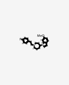 COc1ccc2ccn(C3CCCN(CCc4ccc(F)cc4)CC3)c2c1